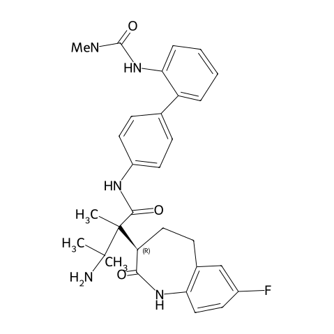 CNC(=O)Nc1ccccc1-c1ccc(NC(=O)C(C)([C@H]2CCc3cc(F)ccc3NC2=O)C(C)(C)N)cc1